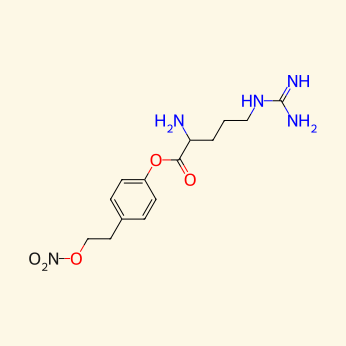 N=C(N)NCCCC(N)C(=O)Oc1ccc(CCO[N+](=O)[O-])cc1